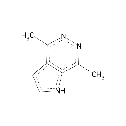 Cc1nnc(C)c2[nH]ccc12